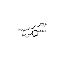 O=C(O)CCCCCC(=O)O.O=C(O)c1ccc(C(=O)O)cc1